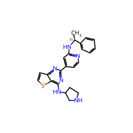 C[C@H](Nc1cc(-c2nc(NC3CCNC3)c3sccc3n2)ccn1)c1ccccc1